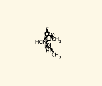 CCNCc1nc(-c2ncn3c2CN(C)C(=O)c2cc(F)ccc2-3)no1.Cl